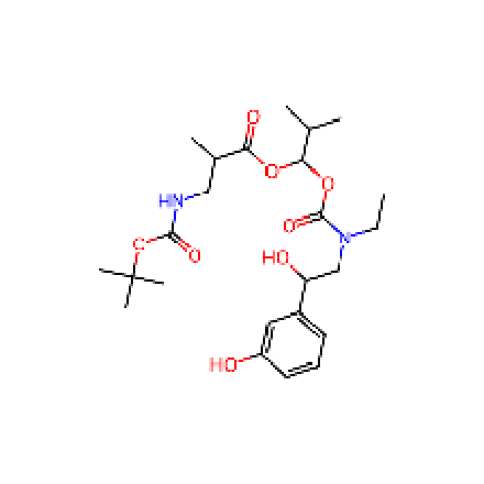 CCN(CC(O)c1cccc(O)c1)C(=O)OC(OC(=O)C(C)CNC(=O)OC(C)(C)C)C(C)C